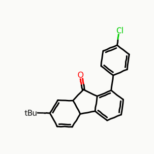 CC(C)(C)C1=CC2C(=O)c3c(-c4ccc(Cl)cc4)cccc3C2C=C1